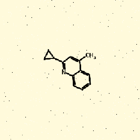 Cc1cc(C2CC2)nc2ccccc12